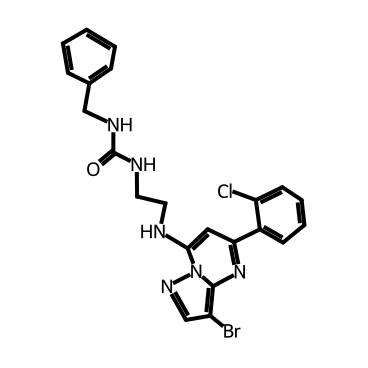 O=C(NCCNc1cc(-c2ccccc2Cl)nc2c(Br)cnn12)NCc1ccccc1